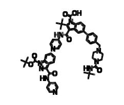 CC(C)(C)NC(=O)N1CCN(Cc2ccc(-c3ccc4c(c3)c(C(=O)Nc3ccncc3)c(C(C)(C)C)n4C(=O)O)cc2)CC1.CC(C)(C)OC(=O)n1nc(C(=O)Nc2ccncc2)c2ccccc21